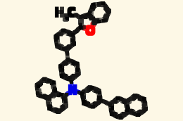 Cc1c(-c2cccc(-c3ccc(N(c4ccc(-c5ccc6ccccc6c5)cc4)c4cccc5ccccc45)cc3)c2)oc2ccccc12